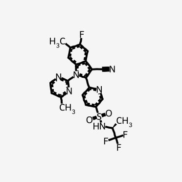 Cc1ccnc(-n2c(-c3ccc(S(=O)(=O)N[C@@H](C)C(F)(F)F)cn3)c(C#N)c3cc(F)c(C)cc32)n1